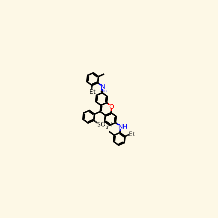 CCc1cccc(C)c1/N=c1\ccc2c(-c3ccccc3S(=O)(=O)O)c3ccc(Nc4c(C)cccc4CC)cc3oc-2c1